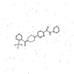 O=C(Nc1ccccc1)c1ccc(N2CCN(C(=O)c3ccccc3C(F)(F)F)CC2)nn1